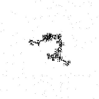 C=C1CC(CC[C@@]23C[C@H]4OC5[C@@H](O[C@H]6CC[C@H](CC(=O)CC7CO[C@H](CC(O)CNC(=O)OCc8ccc(NC(=O)C(CCCNC(N)=O)NC(=O)[C@@H](NC(=O)CCCCCN9C(=O)C=CC9=O)C(C)C)cc8)[C@@H]7OC)O[C@@H]6[C@@H]5O2)C4O3)OC1CCC1C[C@@H](C)C(=C)[C@@H](C)O1